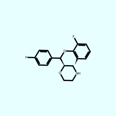 Fc1ccc(C(Oc2c(F)cccc2F)[C@H]2CNCCO2)cc1